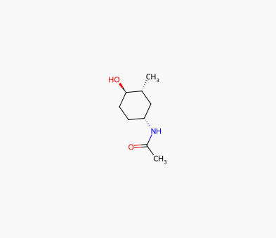 CC(=O)N[C@@H]1CC[C@@H](O)[C@H](C)C1